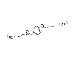 OCCCCOCc1ccc(OCCCCO)cc1